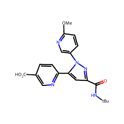 COc1ccc(-n2nc(C(=O)NC(C)(C)C)cc2-c2ccc(C(=O)O)cn2)cn1